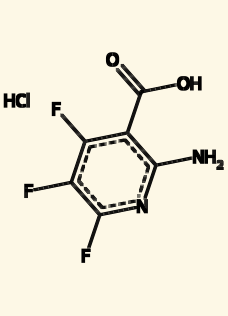 Cl.Nc1nc(F)c(F)c(F)c1C(=O)O